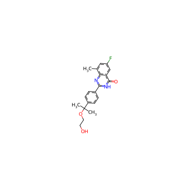 Cc1cc(F)cc2c(=O)[nH]c(-c3ccc(C(C)(C)OCCO)cc3)nc12